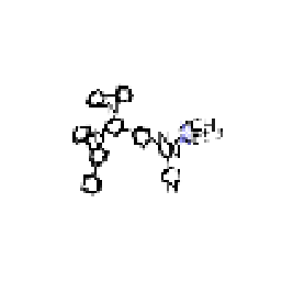 C/C=C\C(=C/CC)c1nc(C2=CC=NCC2)cc(-c2ccc(-c3cc(-n4c5ccccc5c5ccccc54)cc(-n4c5ccccc5c5cc(-c6ccccc6)ccc54)c3)cc2)n1